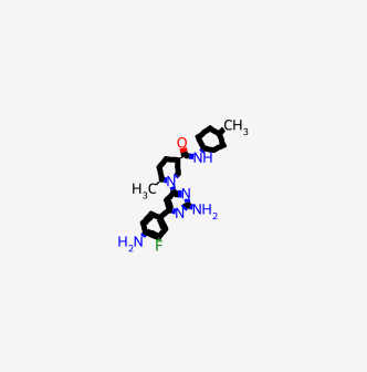 CC1CCC(NC(=O)[C@H]2CC[C@@H](C)N(c3cc(-c4ccc(N)c(F)c4)nc(N)n3)C2)CC1